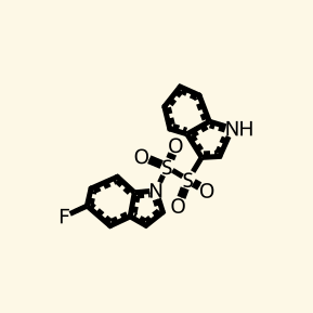 O=S(=O)(c1c[nH]c2ccccc12)S(=O)(=O)n1ccc2cc(F)ccc21